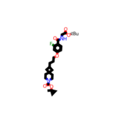 CC(C)(C)OC(=O)CNC(=O)c1ccc(OCCCC2CC3(CCN(C(=O)OC4(C)CC4)CC3)C2)cc1F